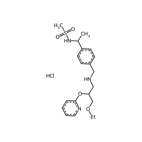 CCOCC(CNCc1ccc(C(C)NS(C)(=O)=O)cc1)Oc1ccccn1.Cl